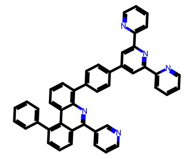 c1ccc(-c2cccc3c(-c4cccnc4)nc4c(-c5ccc(-c6cc(-c7ccccn7)nc(-c7ccccn7)c6)cc5)cccc4c23)cc1